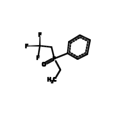 CCP(=O)(CC(F)(F)F)c1ccccc1